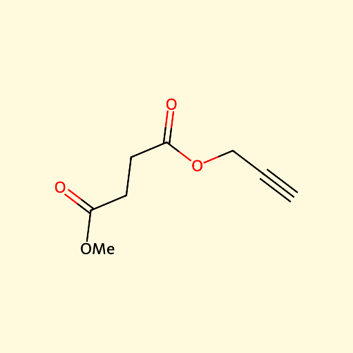 C#CCOC(=O)CCC(=O)OC